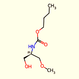 CCCCOC(=O)N[C@H](CO)COC